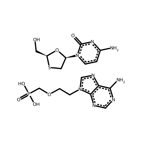 Nc1ccn([C@H]2CS[C@@H](CO)O2)c(=O)n1.Nc1ncnc2c1ncn2CCOCP(=O)(O)O